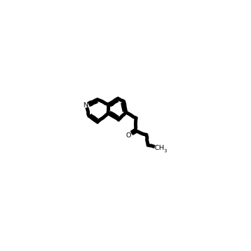 CCCC(=O)Cc1ccc2cnccc2c1